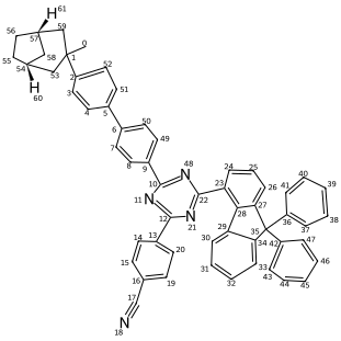 CC1(c2ccc(-c3ccc(-c4nc(-c5ccc(C#N)cc5)nc(-c5cccc6c5-c5ccccc5C6(c5ccccc5)c5ccccc5)n4)cc3)cc2)C[C@@H]2CC[C@@H](C2)C1